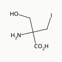 NC(CO)(CI)C(=O)O